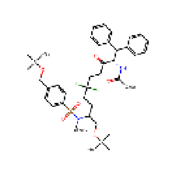 CCCCCN([C@@H](CCC(F)(F)CCC(=O)[C@@H](NC(=O)OC)C(c1ccccc1)c1ccccc1)CO[Si](C)(C)C(C)(C)C)S(=O)(=O)c1ccc(CO[Si](C)(C)C(C)(C)C)cc1